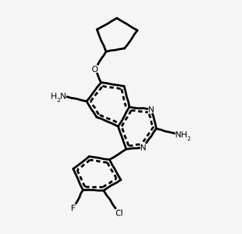 Nc1nc(-c2ccc(F)c(Cl)c2)c2cc(N)c(OC3CCCC3)cc2n1